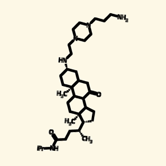 CC(C)NC(=O)CC[C@@H](C)[C@H]1CCC2C3C(=O)CC4C[C@@H](NCCN5CCN(CCCN)CC5)CC[C@]4(C)C3CC[C@@]21C